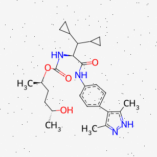 Cc1n[nH]c(C)c1-c1ccc(NC(=O)[C@@H](NC(=O)O[C@H](C)CC[C@@H](C)O)C(C2CC2)C2CC2)cc1